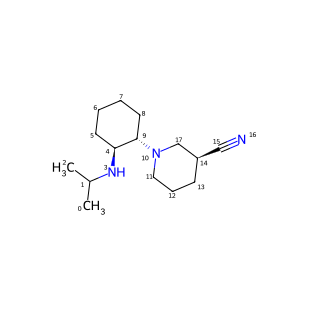 CC(C)N[C@H]1CCCC[C@@H]1N1CCC[C@H](C#N)C1